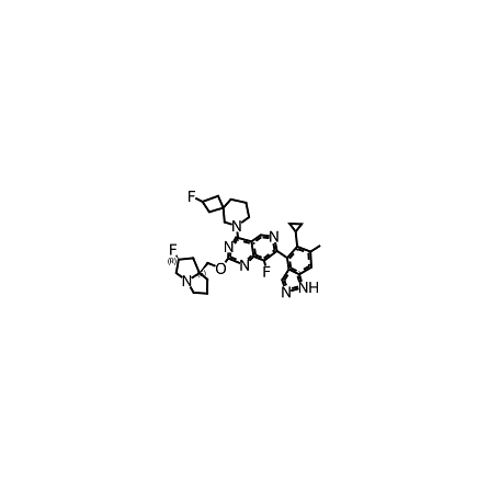 Cc1cc2[nH]ncc2c(-c2ncc3c(N4CCCC5(CC(F)C5)C4)nc(OC[C@@]45CCCN4C[C@H](F)C5)nc3c2F)c1C1CC1